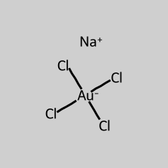 [Cl][Au-]([Cl])([Cl])[Cl].[Na+]